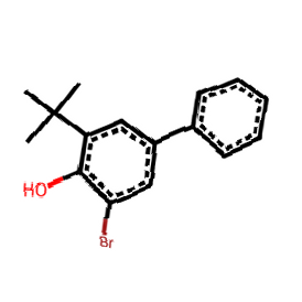 CC(C)(C)c1cc(-c2ccccc2)cc(Br)c1O